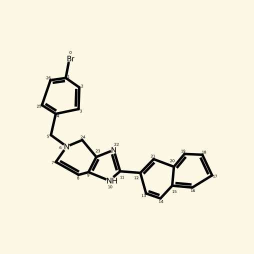 Brc1ccc(CN2C=Cc3[nH]c(-c4ccc5ccccc5c4)nc3C2)cc1